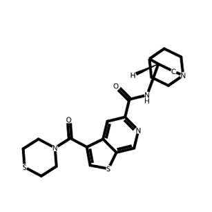 O=C(N[C@H]1CN2CCC1CC2)c1cc2c(C(=O)N3CCSCC3)csc2cn1